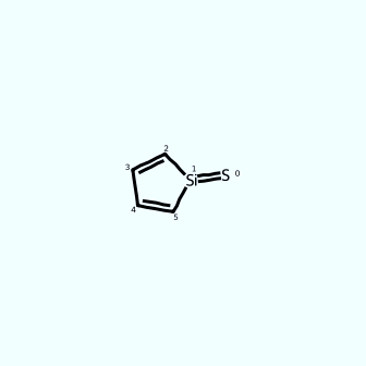 S=[Si]1C=CC=C1